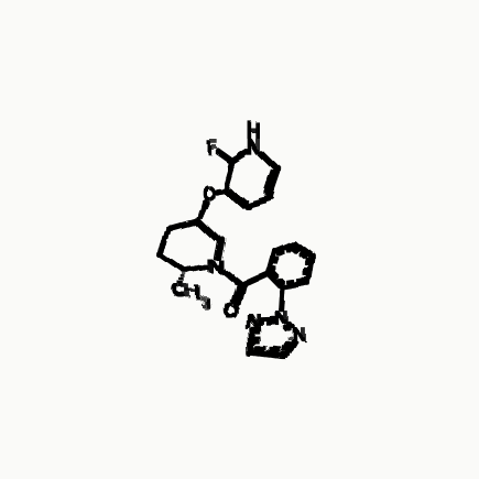 C[C@@H]1CC[C@@H](OC2=CC=CNC2F)CN1C(=O)c1ccccc1-n1nccn1